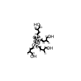 CC(/C=C/OP(=O)(O/C=C/C(C)CO)OP(=O)(O/C=C/C(C)CO)O/C=C/C(C)CO)CO